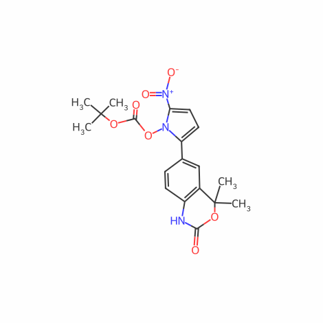 CC(C)(C)OC(=O)On1c(-c2ccc3c(c2)C(C)(C)OC(=O)N3)ccc1[N+](=O)[O-]